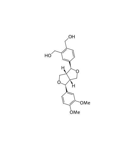 COc1ccc([C@H]2OC[C@H]3[C@@H]2CO[C@@H]3c2ccc(CO)c(CO)c2)cc1OC